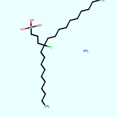 CCCCCCCCCCC(Cl)(CCCCCCCCCC)CCC[Si](O)(O)O.N